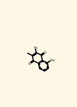 CC(=O)C1=C(C)C(=O)c2cccc(O)c2C1=O